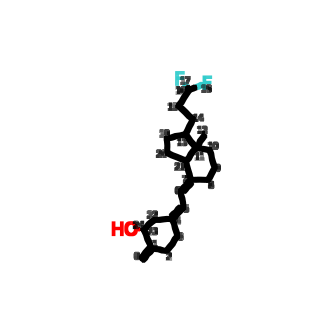 C=C1CC/C(=C/C=C2\CCCC3(C)C(CCC(F)F)CCC23)C[C@H]1O